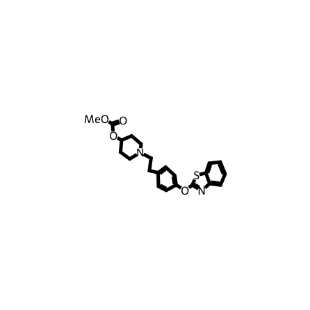 COC(=O)OC1CCN(CCc2ccc(Oc3nc4ccccc4s3)cc2)CC1